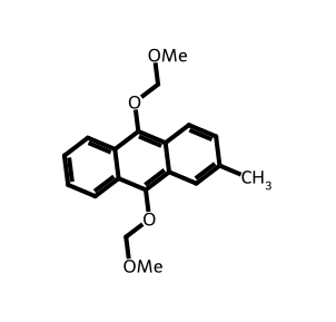 COCOc1c2ccccc2c(OCOC)c2cc(C)ccc12